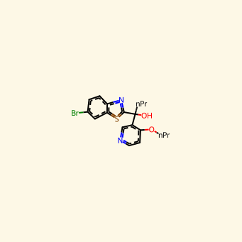 CCCOc1ccncc1C(O)(CCC)c1nc2ccc(Br)cc2s1